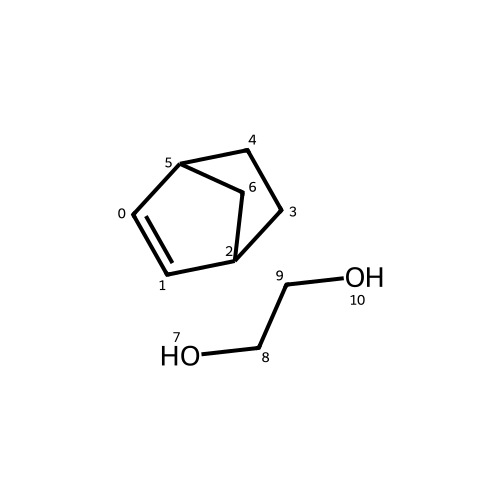 C1=CC2CCC1C2.OCCO